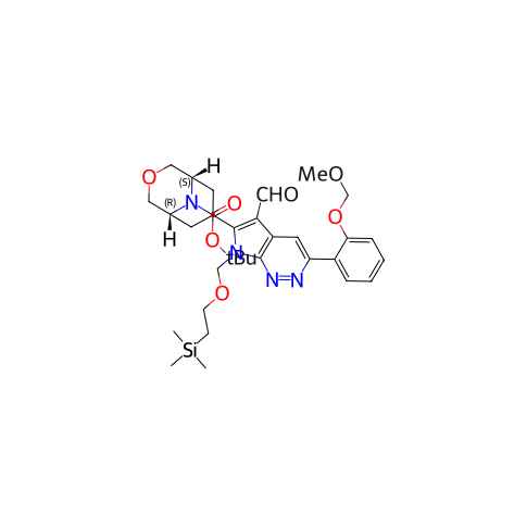 COCOc1ccccc1-c1cc2c(C=O)c(C3C[C@H]4COC[C@@H](C3)N4C(=O)OC(C)(C)C)n(COCC[Si](C)(C)C)c2nn1